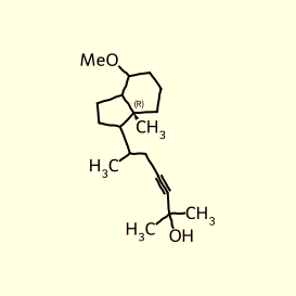 COC1CCC[C@]2(C)C(C(C)CC#CC(C)(C)O)CCC12